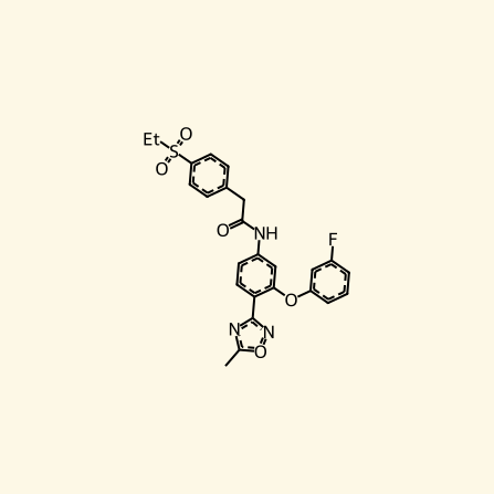 CCS(=O)(=O)c1ccc(CC(=O)Nc2ccc(-c3noc(C)n3)c(Oc3cccc(F)c3)c2)cc1